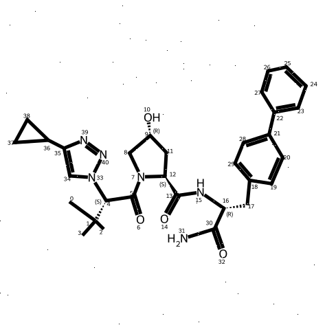 CC(C)(C)[C@@H](C(=O)N1C[C@H](O)C[C@H]1C(=O)N[C@H](Cc1ccc(-c2ccccc2)cc1)C(N)=O)n1cc(C2CC2)nn1